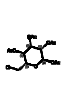 CC(=O)O[C@H]1O[C@H](CCl)[C@@H](OC(C)=O)[C@H](OC(C)=O)[C@@H]1OC(C)=O